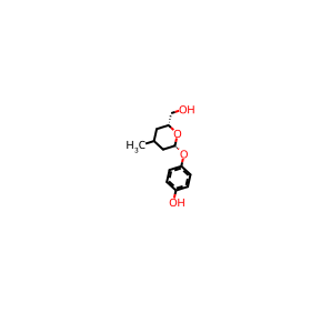 CC1C[C@H](CO)O[C@H](Oc2ccc(O)cc2)C1